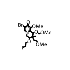 COCCC1(C)C(OCCI)Cn2cc(Br)c(=O)c(OC)c2C1OCOC